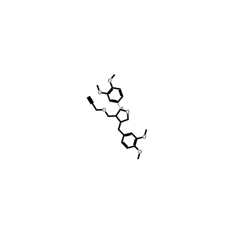 C#CCOCC1C(Cc2ccc(OC)c(OC)c2)CO[C@H]1c1ccc(OC)c(OC)c1